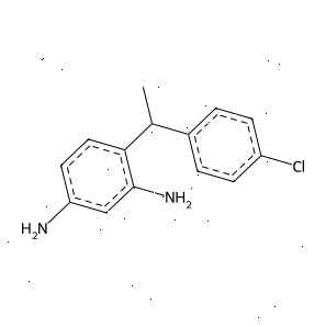 CC(c1ccc(Cl)cc1)c1ccc(N)cc1N